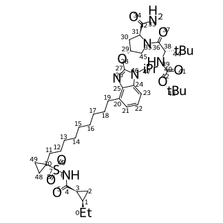 CC[C@@H]1C[C@@H]1C(=O)NS(=O)(=O)C1(CCCCCCCCCc2cccc3c2nc(O[C@@H]2C[C@@H](C(N)=O)N(C(=O)[C@@H](NC(=O)OC(C)(C)C)C(C)(C)C)C2)n3C(C)C)CC1